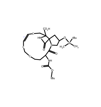 CC(C)(C)OC(=O)NC1CCCCC/C=C\CCC2(C(=O)O)NC(=O)C23CC(O[Si](C)(C)C(C)(C)C)CN3C1=O